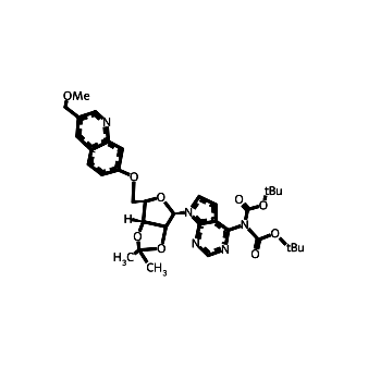 COCc1cnc2cc(OC[C@H]3O[C@@H](n4ccc5c(N(C(=O)OC(C)(C)C)C(=O)OC(C)(C)C)ncnc54)C4OC(C)(C)O[C@@H]43)ccc2c1